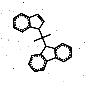 CC(C)(C1C=Cc2ccccc21)C1c2ccccc2-c2ccccc21